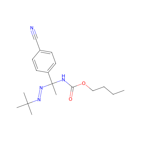 CCCCOC(=O)NC(C)(N=NC(C)(C)C)c1ccc(C#N)cc1